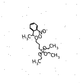 CCO[Si](CCCOC(C)c1ccccc1[N+](=O)[O-])(OCC)OCC